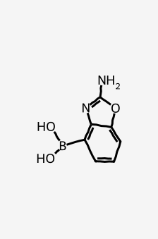 Nc1nc2c(B(O)O)cccc2o1